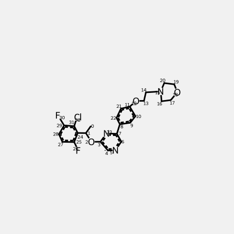 CC(Oc1[c]ncc(-c2ccc(OCCN3CCOCC3)cc2)n1)c1c(F)ccc(F)c1Cl